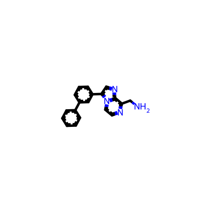 NCc1nccn2c(-c3cccc(-c4ccccc4)c3)cnc12